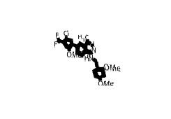 COc1ccc(CNc2nnc(C)c3cc(-c4cc(Cl)c(C(F)F)cc4OC)ccc23)c(OC)c1